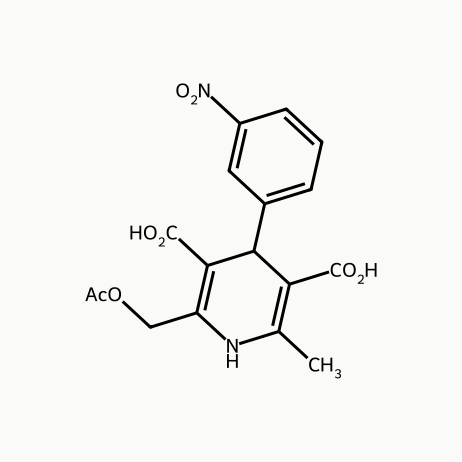 CC(=O)OCC1=C(C(=O)O)C(c2cccc([N+](=O)[O-])c2)C(C(=O)O)=C(C)N1